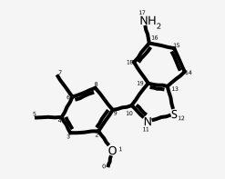 COc1cc(C)c(C)cc1-c1nsc2ccc(N)cc12